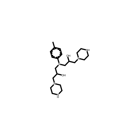 Cc1ccc(N(CC(O)CN2CCNCC2)CC(O)CN2CCNCC2)cc1